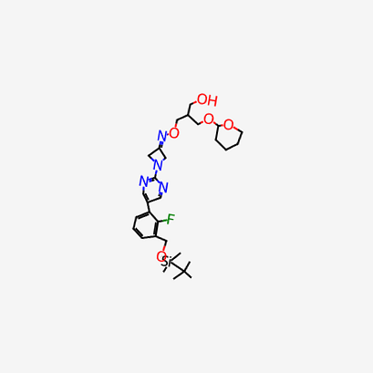 CC(C)(C)[Si](C)(C)OCc1cccc(-c2cnc(N3CC(=NOCC(CO)COC4CCCCO4)C3)nc2)c1F